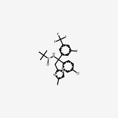 Cc1csc(CC(N[S+]([O-])C(C)(C)C)(c2cc(F)cc(C(F)(F)F)c2)c2ccc(Cl)cn2)n1